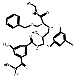 CCCN(CCC)C(=O)c1cc(C)cc(C(=O)N[C@@H](Cc2cc(F)cc(F)c2)[C@H](O)CN[C@@H](COCc2ccccc2)C(=O)NCC(C)C)c1